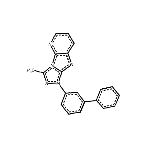 Cc1nn(-c2cccc(-c3ccccc3)c2)c2nc3cccnc3n12